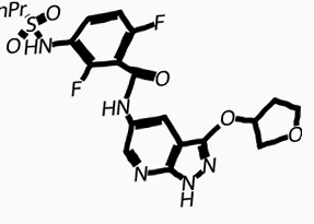 CCCS(=O)(=O)Nc1ccc(F)c(C(=O)Nc2cnc3[nH]nc(OC4CCOC4)c3c2)c1F